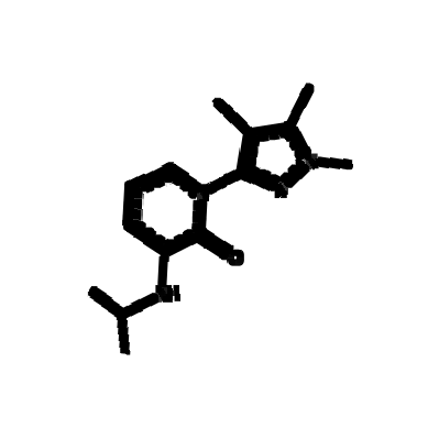 Cc1c(-n2cccc(NC(C)C)c2=O)nn(C)c1C